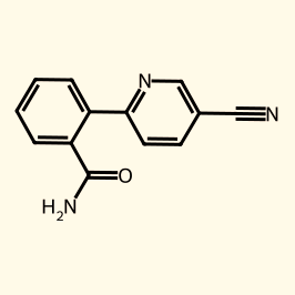 N#Cc1ccc(-c2ccccc2C(N)=O)nc1